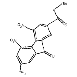 CCCCOC(=O)c1cc2c(c([N+](=O)[O-])c1)-c1c(cc([N+](=O)[O-])cc1[N+](=O)[O-])C2=O